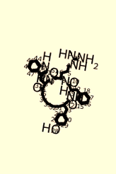 N=C(N)NCCCC1NC(=O)C(Cc2ccccc2)NC(=O)C(Cc2ccc(O)cc2)CCCCCC(=O)C(Cc2c[nH]c3ccccc23)NC1=O